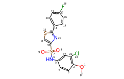 COc1ccc(NS(=O)(=O)c2csc(-c3ccc(F)cc3)n2)cc1Cl